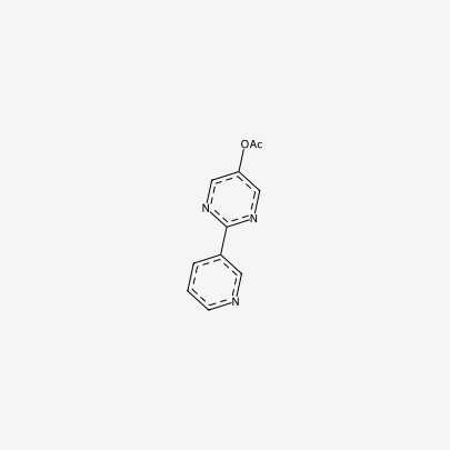 CC(=O)Oc1cnc(-c2cccnc2)nc1